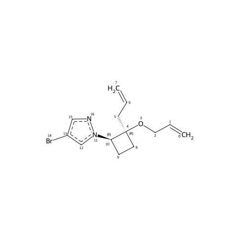 C=CCO[C@@]1(CC=C)CC[C@H]1n1cc(Br)cn1